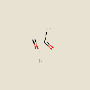 C=O.O=[CH][Fe].[Ni]